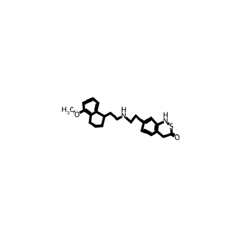 COc1cccc2c1CCCC2CCNCCc1ccc2c(c1)NSC(=O)C2